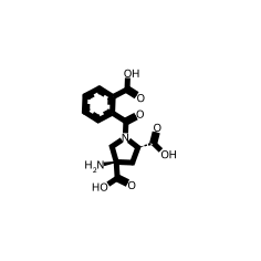 N[C@]1(C(=O)O)C[C@@H](C(=O)O)N(C(=O)c2ccccc2C(=O)O)C1